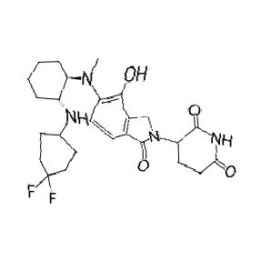 CN(c1ccc2c(c1O)CN(C1CCC(=O)NC1=O)C2=O)[C@@H]1CCCC[C@H]1NC1CCC(F)(F)CC1